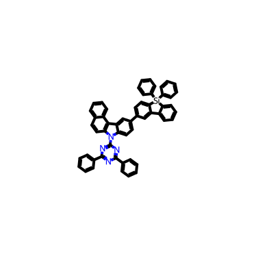 c1ccc(-c2nc(-c3ccccc3)nc(-n3c4ccc(-c5ccc6c(c5)-c5ccccc5[Si]6(c5ccccc5)c5ccccc5)cc4c4c5ccccc5ccc43)n2)cc1